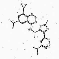 Cc1nc([C@H](C)Nc2ncnc3c(C4CC4)cc(C(F)F)cc23)n(-c2cc(C(F)F)ncn2)n1